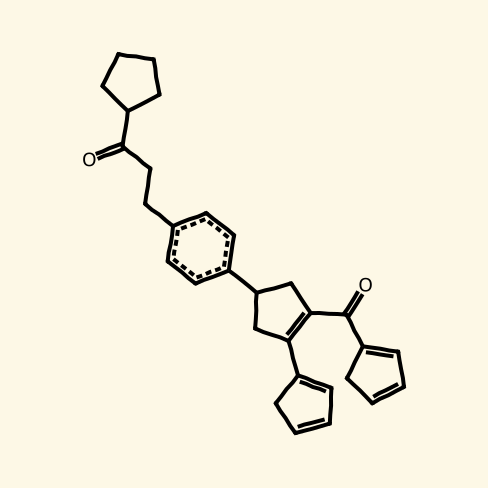 O=C(C1=CC=CC1)C1=C(C2=CC=CC2)CC(c2ccc(CCC(=O)C3CCCC3)cc2)C1